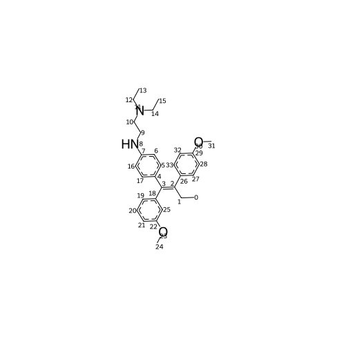 CCC(=C(c1ccc(NCCN(CC)CC)cc1)c1cccc(OC)c1)c1ccc(OC)cc1